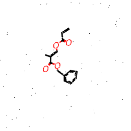 C=CC(=O)OC=C(C)C(=O)OCc1ccccc1